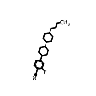 CCCC[C@H]1CC[C@H](C2CCC(c3ccc(C#N)c(F)c3)CC2)CC1